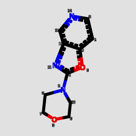 c1cc2oc(N3CCOCC3)nc2cn1